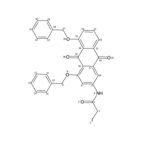 O=C(CI)Nc1cc(OCc2ccccc2)c2c(c1)C(=O)c1cccc(OCc3ccccc3)c1C2=O